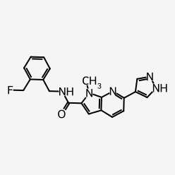 Cn1c(C(=O)NCc2ccccc2CF)cc2ccc(-c3cn[nH]c3)nc21